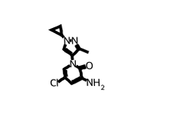 Cc1nn(C2CC2)cc1-n1cc(Cl)cc(N)c1=O